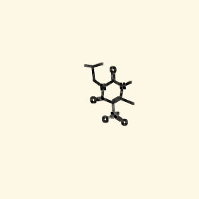 Cc1c([N+](=O)[O-])c(=O)n(CC(C)C)c(=O)n1C